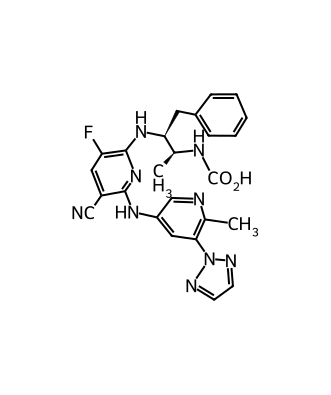 Cc1ncc(Nc2nc(N[C@@H](Cc3ccccc3)[C@H](C)NC(=O)O)c(F)cc2C#N)cc1-n1nccn1